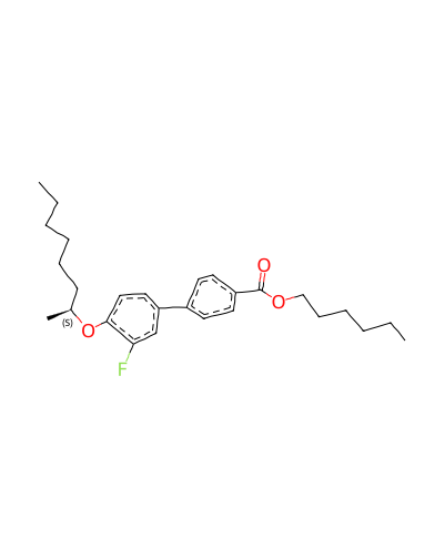 CCCCCCOC(=O)c1ccc(-c2ccc(O[C@@H](C)CCCCCC)c(F)c2)cc1